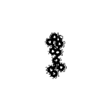 c1ccc(N2c3cccc4c(-c5ccc6c(c5)c5ccccc5n6-c5cccc6ccccc56)ccc(c34)-c3ccc4sc5ccccc5c4c32)cc1